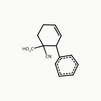 N#CC1(C(=O)O)CCC=CC1c1ccccc1